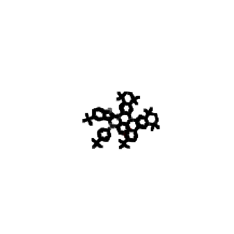 Cc1cc2c3c(c1)N(c1ccc(C(C)(C)C)cc1)c1c(oc4ccc(C(C)(C)C)cc14)B3c1cc3c(cc1N2c1cc2c(cc1-c1ccc(C(C)(C)C)cc1)C(C)(C)CCC2(C)C)C(C)(C)CCC3(C)C